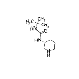 CC(C)(C)NC(=O)N[C@@H]1CCCNC1